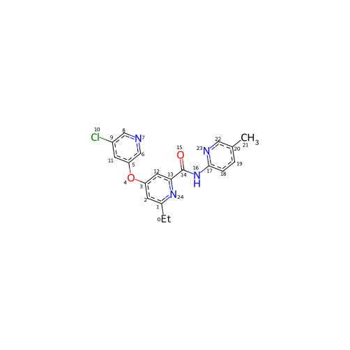 CCc1cc(Oc2cncc(Cl)c2)cc(C(=O)Nc2ccc(C)cn2)n1